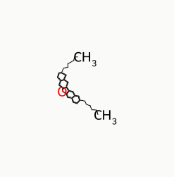 CCCCCCc1ccc2cc3oc4cc5ccc(CCCCCC)cc5cc4c3cc2c1